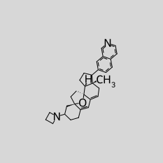 C[C@@]12CC=C3C=C4CCC(N5CCC5)C[C@]45CC[C@]3(O5)[C@@H]1CCC2c1ccc2ccncc2c1